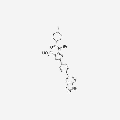 CC1CCC(C(=O)N(c2nn(-c3ccc(-c4cnc5[nH]ncc5c4)cc3)cc2C(=O)O)C(C)C)CC1